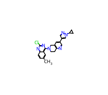 Cc1ccc2nc(Cl)nc(N3CCc4ncc(-c5cnn(C6CC6)c5)cc4C3)c2c1